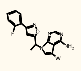 CC(c1cc(-c2ccccc2F)no1)n1c[c]([W])c2c(N)ncnc21